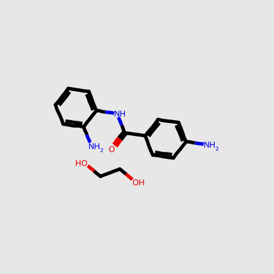 Nc1ccc(C(=O)Nc2ccccc2N)cc1.OCCO